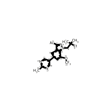 CCC(C)(C)Cn1nc(C(C)=O)c2cc(-c3cnc(C)nc3)cc(OC(F)(F)F)c21